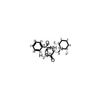 C[C@@H]1CCC[C@H](C)N1C[C@@H](NS(=O)(=O)c1ccccc1)C(N)=O